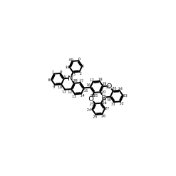 c1ccc(N2c3ccccc3Cc3ccc(-c4ccc5c6c4Oc4ccccc4B6c4ccccc4O5)cc32)cc1